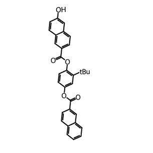 CC(C)(C)c1cc(OC(=O)c2ccc3ccccc3c2)ccc1OC(=O)c1ccc2cc(O)ccc2c1